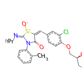 CCC/N=C1\N(c2ccccc2C)C(=O)/C(=C\c2ccc(OC[C@@H](O)CO)c(Cl)c2)[S+]1[O-]